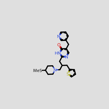 CSC1CCN(CC(Cc2ncc(Cc3cccnc3)c(=O)[nH]2)Cc2cccs2)CC1